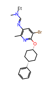 CCN(C)/C=N/c1cc(Br)c(O[C@H]2CC[C@@H](c3ccccc3)CC2)nc1C